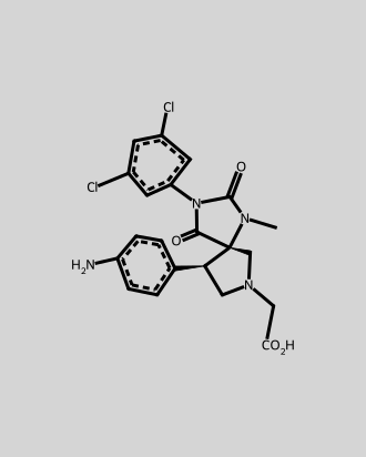 CN1C(=O)N(c2cc(Cl)cc(Cl)c2)C(=O)[C@]12CN(CC(=O)O)C[C@H]2c1ccc(N)cc1